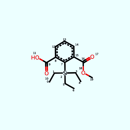 CC[Si](CC)(CC)c1c(C(=O)O)cccc1C(=O)OC